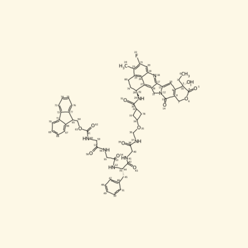 CC[C@@]1(O)C(=O)OCc2c1cc1n(c2=O)Cc2c-1nc1cc(F)c(C)c3c1c2[C@@H](NC(=O)C1CC(OCNC(=O)CNC(=O)[C@H](Cc2ccccc2)NC(=O)CNC(=O)CNC(=O)OCC2c4ccccc4-c4ccccc42)C1)CC3